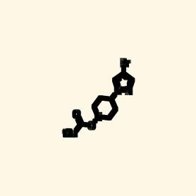 CC(C)(C)C(=O)ON1CCC(n2cc(Br)cn2)CC1